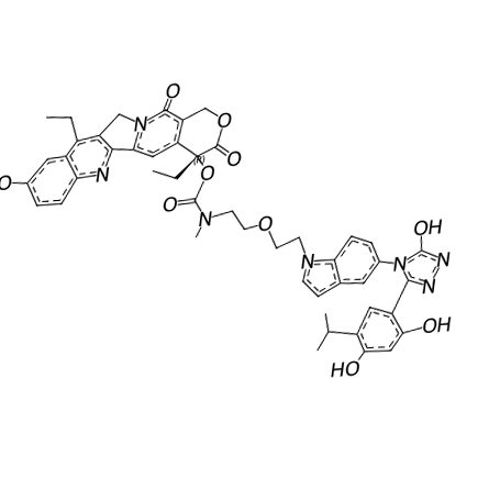 CCc1c2c(nc3ccc(O)cc13)-c1cc3c(c(=O)n1C2)COC(=O)[C@]3(CC)OC(=O)N(C)CCOCCn1ccc2cc(-n3c(O)nnc3-c3cc(C(C)C)c(O)cc3O)ccc21